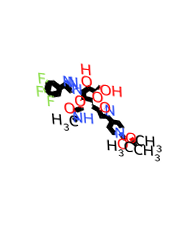 CNC(=O)CO[C@@H]1[C@@H](n2cc(-c3cc(F)c(F)c(F)c3)nn2)[C@@H](O)[C@@H](CO)O[C@@H]1CC1CC(C2CCN(C(=O)OC(C)(C)C)CC2)=NO1